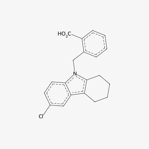 O=C(O)c1ccccc1Cn1c2c(c3cc(Cl)ccc31)CCCC2